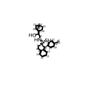 OC(CNN(S)N1CCc2ccccc2[C@@H]1c1ccc(F)cc1)C12CCN(CC1)CC2